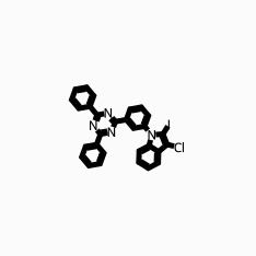 Clc1c(I)n(-c2cccc(-c3nc(-c4ccccc4)nc(-c4ccccc4)n3)c2)c2ccccc12